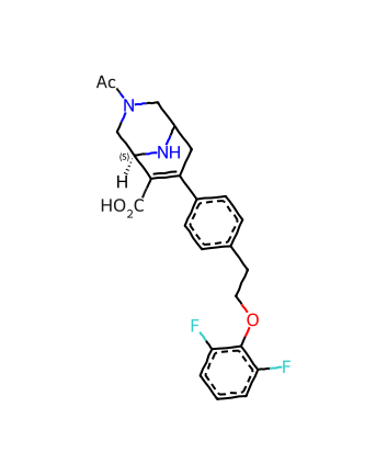 CC(=O)N1CC2CC(c3ccc(CCOc4c(F)cccc4F)cc3)=C(C(=O)O)[C@@H](C1)N2